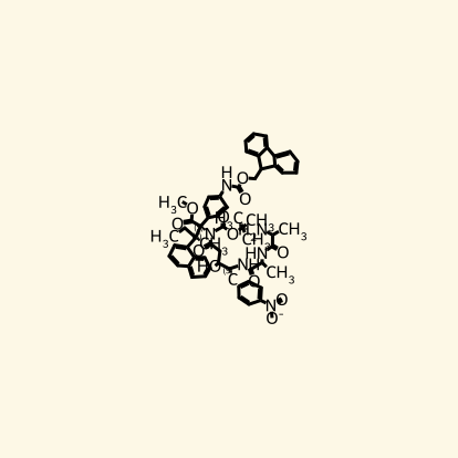 CC[C@@](C)(c1cccc2ccccc12)[C@](C(=O)OC)(c1ccc(NC(=O)OCC2c3ccccc3-c3ccccc32)cc1)N(C(=O)CC(O)[C@H](Cc1ccc([N+](=O)[O-])cc1)NC(=O)C(C)NC(=O)C(C)N)C(=O)OC(C)(C)C